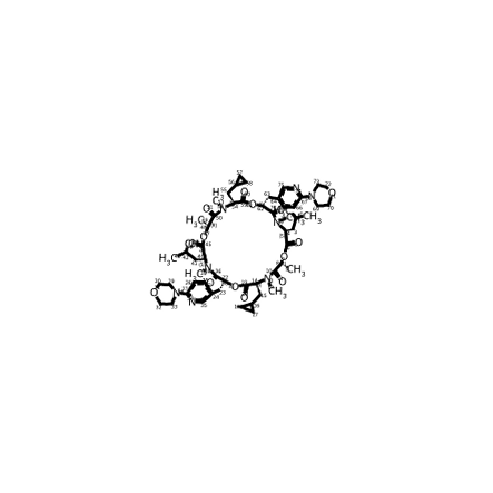 CC(C)C[C@H]1C(=O)O[C@H](C)C(=O)N(C)[C@@H](CC2CC2)C(=O)O[C@H](Cc2ccc(N3CCOCC3)nc2)C(=O)N(C)[C@@H](CC(C)C)C(=O)O[C@H](C)C(=O)N(C)[C@@H](CC2CC2)C(=O)O[C@H](Cc2ccc(N3CCOCC3)nc2)C(=O)N1C